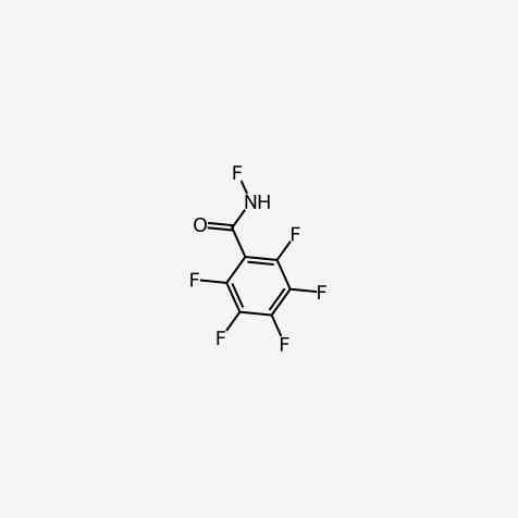 O=C(NF)c1c(F)c(F)c(F)c(F)c1F